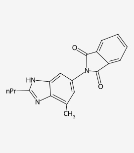 CCCc1nc2c(C)cc(N3C(=O)c4ccccc4C3=O)cc2[nH]1